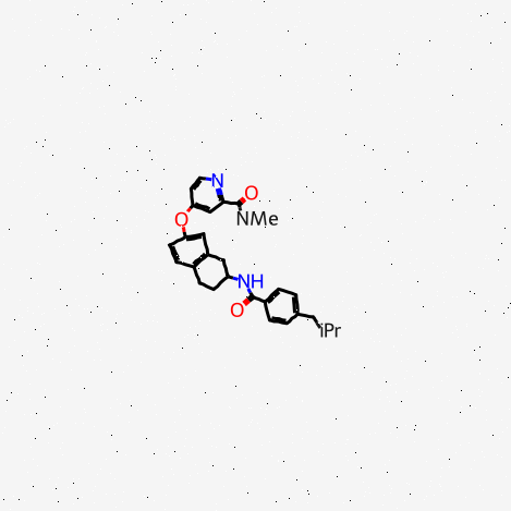 CNC(=O)c1cc(Oc2ccc3c(c2)CC(NC(=O)c2ccc(CC(C)C)cc2)CC3)ccn1